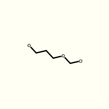 [O]CCCOCCl